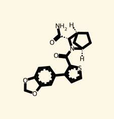 NC(=O)[C@@H]1[C@H]2CC[C@H](C2)N1C(=O)c1sccc1-c1ccc2c(c1)OCO2